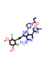 C=CC(=O)N1CC[C@H](n2nc(C#Cc3c(F)c(OC)cc(OC)c3F)c3c(N)ncc(-c4csc(C)n4)c32)C1